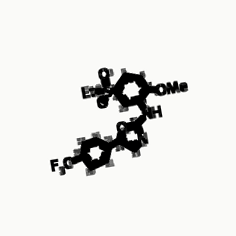 CCS(=O)(=O)c1ccc(OC)c(Nc2ncc(-c3ccc(C(F)(F)F)cc3)o2)c1